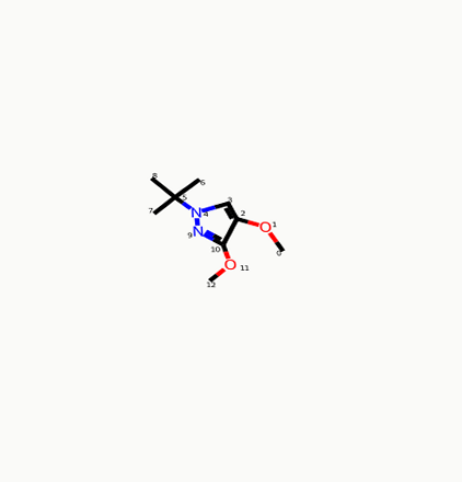 COc1cn(C(C)(C)C)nc1OC